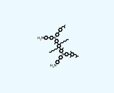 CCCCCCc1cc(-c2ccc(N(c3ccc(-c4ccc(N)cc4)cc3)c3ccc(-c4c(C)cc(CC(C)C)cc4C)cc3)cc2C)c(CCCCCC)cc1-c1ccc(N(c2ccc(-c3ccc(N)cc3)cc2)c2ccc(-c3ccc(CC(C)C)cc3)cc2)cc1C